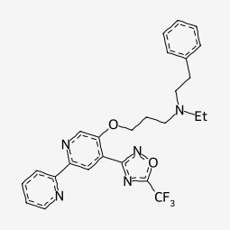 CCN(CCCOc1cnc(-c2ccccn2)cc1-c1noc(C(F)(F)F)n1)CCc1ccccc1